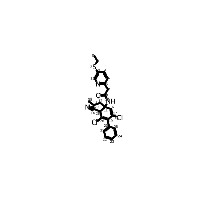 CCSc1ccc(CC(=O)NC2(CC(C)C)C=C(Cl)C(c3ccccc3)=C(Cl)C2C#N)nc1